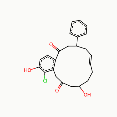 O=C1Cc2c(ccc(O)c2Cl)C(=O)CC(c2ccccc2)C/C=C/CCC(O)C1